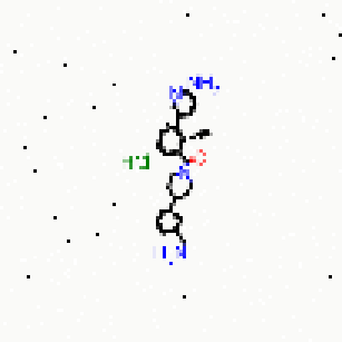 C#Cc1c(C(=O)N2CCC(c3cccc(CN)c3)CC2)cccc1-c1ccc(N)nc1.Cl